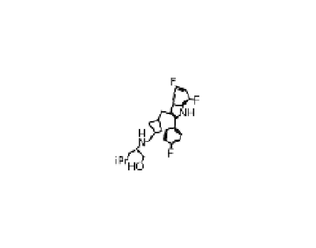 CC(C)C[C@H](CO)NCC1CC(Cc2c(-c3ccc(F)cc3)[nH]c3c(F)cc(F)cc23)C1